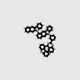 c1cc(-c2nc(-c3cccc4oc5ccccc5c34)c3ccccc3n2)cc(-n2c3ccccc3c3cc4c(-n5c6ccccc6c6cc7ccccc7cc65)cccc4cc32)c1